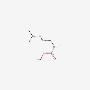 C=C(CCC=C(C)C)C(=O)OCC